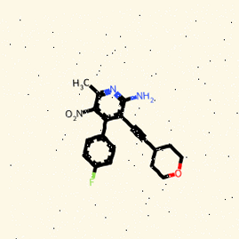 Cc1nc(N)c(C#CC2CCOCC2)c(-c2ccc(F)cc2)c1[N+](=O)[O-]